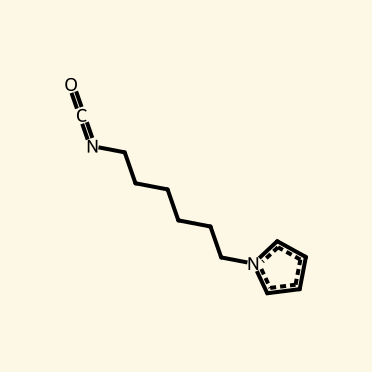 O=C=NCCCCCCn1cccc1